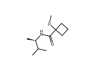 COC1(C(=O)N[C@H](C)C(C)C)CCC1